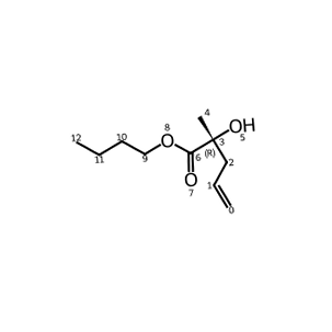 C=CC[C@@](C)(O)C(=O)OCCCC